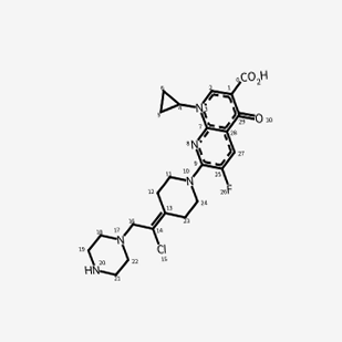 O=C(O)c1cn(C2CC2)c2nc(N3CCC(=C(Cl)CN4CCNCC4)CC3)c(F)cc2c1=O